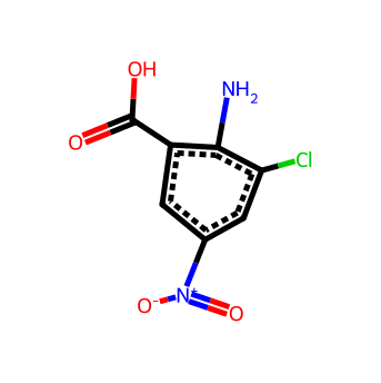 Nc1c(Cl)cc([N+](=O)[O-])cc1C(=O)O